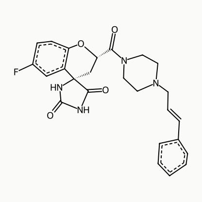 O=C1NC(=O)[C@@]2(C[C@@H](C(=O)N3CCN(CC=Cc4ccccc4)CC3)Oc3ccc(F)cc32)N1